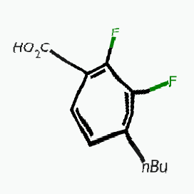 CCCCc1ccc(C(=O)O)c(F)c1F